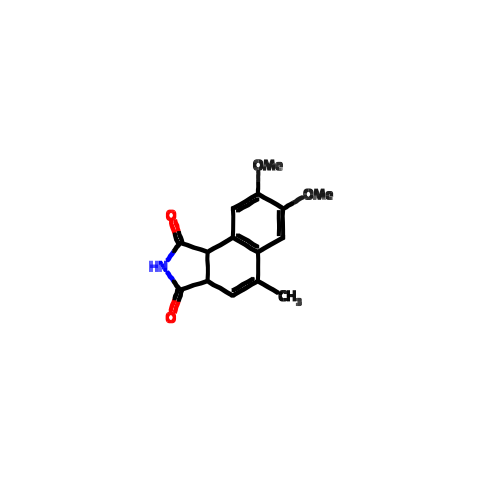 COc1cc2c(cc1OC)C1C(=O)NC(=O)C1C=C2C